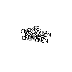 [C-]#[N+]/C(C#N)=C1/c2c(sc(-c3sc(-c4sc5c(c4C)/C(=C(/C#N)[N+]#[C-])C(F)(F)/C5=C(\C#N)[N+]#[C-])c4c3C(=O)C(F)(F)C4=O)c2C)/C(=C(\C#N)[N+]#[C-])C1(F)F